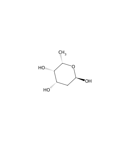 C[C@@H]1O[C@@H](O)C[C@H](O)[C@@H]1O